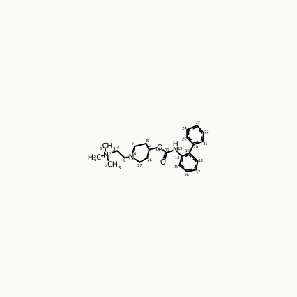 C[N+](C)(C)CCN1CCC(OC(=O)Nc2ccccc2-c2ccccc2)CC1